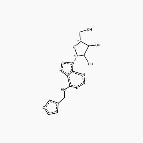 OC[C@H]1O[C@@H](n2cnc3c(NCc4ccoc4)ncnc32)C(O)C1O